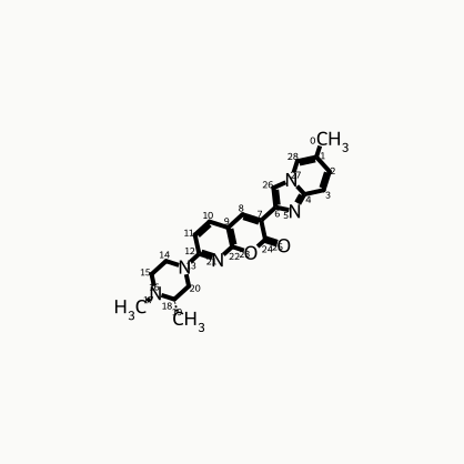 Cc1ccc2nc(-c3cc4ccc(N5CCN(C)[C@@H](C)C5)nc4oc3=O)cn2c1